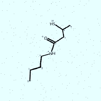 CCCCNC(=O)CC(C)S